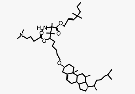 CCCC(C)(C)/C=C/COC(=O)C(C)(N)C(C)(C)C(CCCCCO[C@H]1CC[C@@]2(C)C(=CCC3C4CC[C@H]([C@H](C)CCCC(C)C)C4[C@H](C)CC32)C1)OC(=O)CCCN(C)C